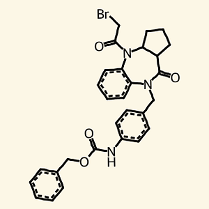 O=C(Nc1ccc(CN2C(=O)C3CCCC3N(C(=O)CBr)c3ccccc32)cc1)OCc1ccccc1